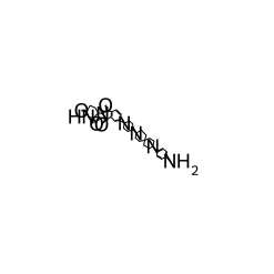 Nc1ccc(N2CCC3(CC2)CCN(C2CCN(c4ccc5c(c4)C(=O)N(C4CCC(=O)NC4=O)C5=O)CC2)CC3)cc1